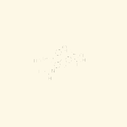 CC1=CC(C)(C)Nc2cc3c(cc21)C(c1cc(C(C)C)ccc1C(=O)O)=c1cc2c(cc1O3)=NC(C)(C)CC2CS(=O)(=O)O